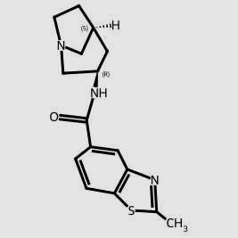 Cc1nc2cc(C(=O)N[C@@H]3C[C@@H]4CCN(C4)C3)ccc2s1